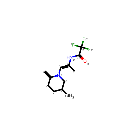 BC1CCC(=C)N(/C=C(\C)NC(=O)C(F)(F)F)C1